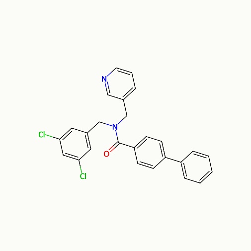 O=C(c1ccc(-c2ccccc2)cc1)N(Cc1cccnc1)Cc1cc(Cl)cc(Cl)c1